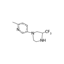 Cc1ccc(N2CCNC(C(F)(F)F)C2)cn1